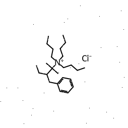 CCCC[N+](CCCC)(CCCC)C(C)(C)C(CC)Cc1ccccc1.[Cl-]